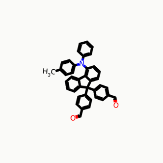 Cc1ccc(N(c2ccccc2)c2cccc3c2-c2ccccc2C3(c2ccc(C=O)cc2)c2ccc(C=O)cc2)cc1